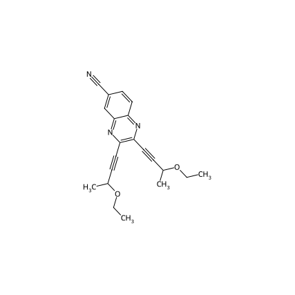 CCOC(C)C#Cc1nc2ccc(C#N)cc2nc1C#CC(C)OCC